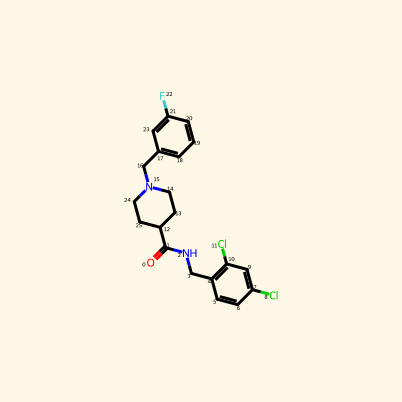 O=C(NCc1ccc(Cl)cc1Cl)C1CCN(Cc2cccc(F)c2)CC1